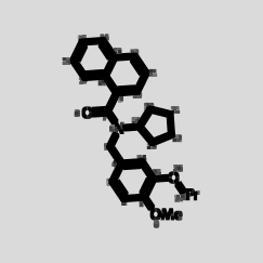 COc1ccc(CN(C(=O)c2cccc3ccccc23)C2CCCC2)cc1OC(C)C